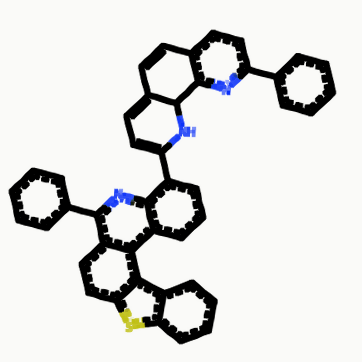 C1=Cc2ccc(-c3ccccc3)nc2C2NC(c3cccc4c3nc(-c3ccccc3)c3ccc5sc6ccccc6c5c34)=CC=C12